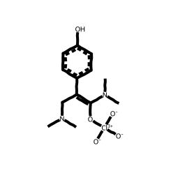 CN(C)CC(=C(O[Cl+3]([O-])([O-])[O-])N(C)C)c1ccc(O)cc1